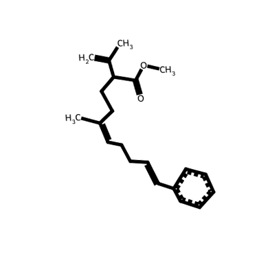 C=C(C)C(CCC(C)=CCCC=Cc1ccccc1)C(=O)OC